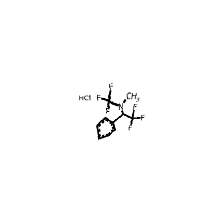 CN(C(c1ccccc1)C(F)(F)F)C(F)(F)F.Cl